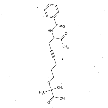 CC(=O)C(CC#CCCCOC(C)(C)C(=O)O)NC(=O)c1ccccc1